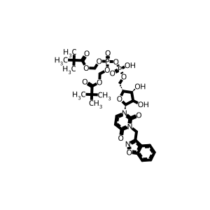 CC(C)(C)C(=O)OCOP(=O)(OCOC(=O)C(C)(C)C)OP(=O)(O)OC[C@H]1O[C@@H](n2ccc(=O)n(Cc3noc4ccccc34)c2=O)C(O)[C@H]1O